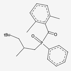 Cc1cccc(C)c1C(=O)P(=O)(CC(C)CC(C)(C)C)c1ccccc1